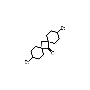 CCC1CC[C@]2(CC1)C[C@@]1(CCC(CC)CC1)C2=O